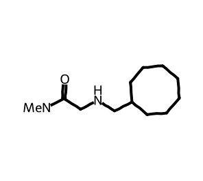 CNC(=O)CNCC1CCCCCCC1